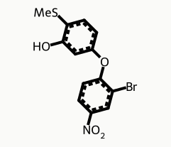 CSc1ccc(Oc2ccc([N+](=O)[O-])cc2Br)cc1O